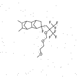 COCCOCOC(CC1(F)CC2CC1C1C3CC(C(C)C3C)C21)(C(F)(F)F)C(F)(F)F